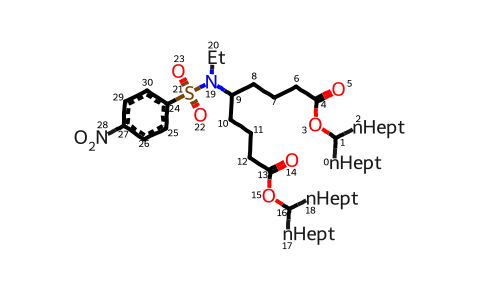 CCCCCCCC(CCCCCCC)OC(=O)CCCC(CCCC(=O)OC(CCCCCCC)CCCCCCC)N(CC)S(=O)(=O)c1ccc([N+](=O)[O-])cc1